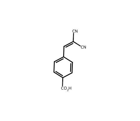 N#CC(C#N)=Cc1ccc(C(=O)O)cc1